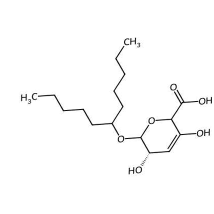 CCCCCC(CCCCC)OC1OC(C(=O)O)C(O)=C[C@@H]1O